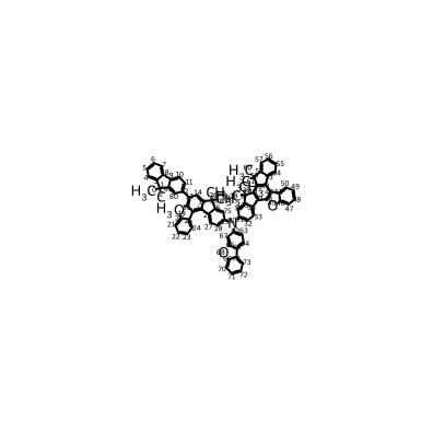 CC1(C)c2ccccc2-c2ccc(-c3cc4c(c5c3oc3ccccc35)-c3ccc(N(c5ccc6c(c5)C(C)(C)c5c7c(c8c(oc9ccccc98)c5-6)-c5ccccc5C7(C)C)c5ccc6c(c5)oc5ccccc56)cc3C4(C)C)cc21